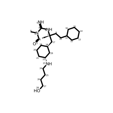 CN(C=O)C(=N)N[C@](C)(CCC1CCCCC1)C[C@@H]1CCC[C@@H](NCCCCO)C1